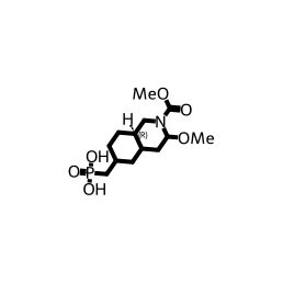 COC(=O)N1C[C@@H]2CCC(CP(=O)(O)O)CC2CC1OC